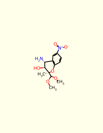 COC(OC)[C@]1(C)Oc2ccc([N+](=O)[O-])cc2[C@@H](N)[C@@H]1O